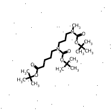 CN(CCCN(CCCCC(=O)OC(C)(C)C)C(=O)OC(C)(C)C)C(=O)OC(C)(C)C